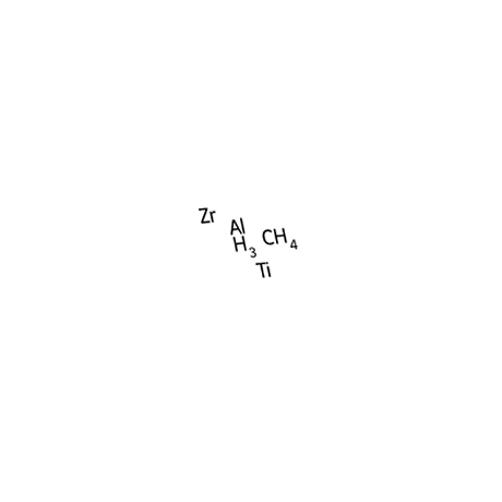 C.[AlH3].[Ti].[Zr]